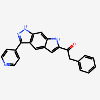 O=C(Cc1ccccc1)c1cc2cc3c(-c4ccncc4)n[nH]c3cc2[nH]1